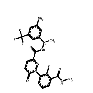 CNC(=O)c1cccc(-n2nc(C(=O)N[C@H](C)c3cc(N)cc(C(F)(F)F)c3)ccc2=O)c1F